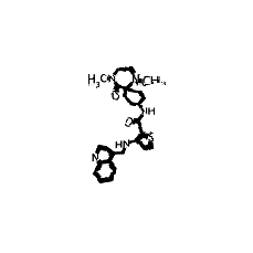 CN1CCN(C)C2(CCC(NC(=O)c3sccc3NCc3ccnc4ccccc34)CC2)C1=O